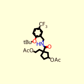 CC(=O)OCCC1(C(=O)NCc2cc(C(F)(F)F)ccc2OC(C)(C)C)CCC(OC(C)=O)C1